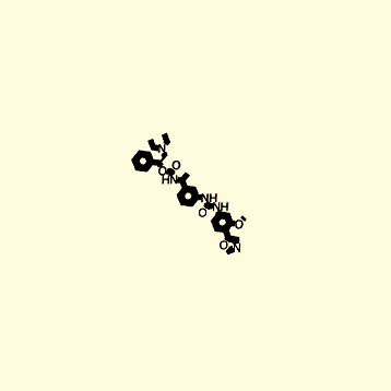 CCN(CC)C[C@@H](OC(=O)NC(C)c1cccc(NC(=O)Nc2ccc(-c3cnco3)c(OC)c2)c1)c1ccccc1